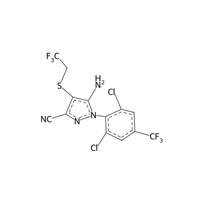 N#Cc1nn(-c2c(Cl)cc(C(F)(F)F)cc2Cl)c(N)c1SCC(F)(F)F